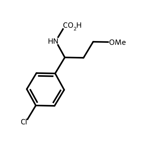 COCCC(NC(=O)O)c1ccc(Cl)cc1